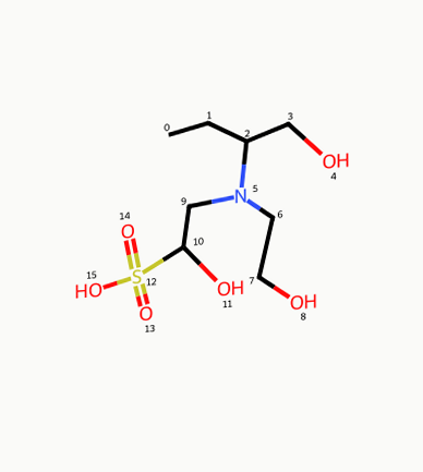 CCC(CO)N(CCO)CC(O)S(=O)(=O)O